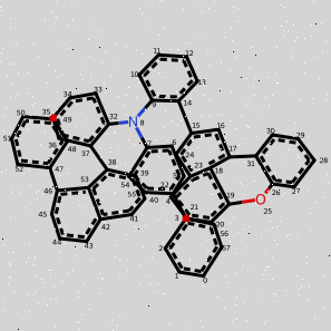 c1ccc(-c2ccc(N(c3ccccc3-c3cc4c5c(cccc5c3)Oc3ccccc3-4)c3ccccc3-c3cccc4cccc(-c5ccccc5)c34)cc2)cc1